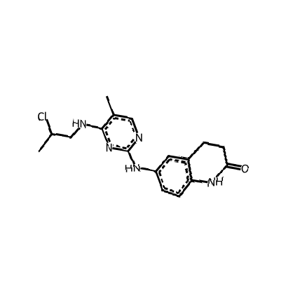 Cc1cnc(Nc2ccc3c(c2)CCC(=O)N3)nc1NCC(C)Cl